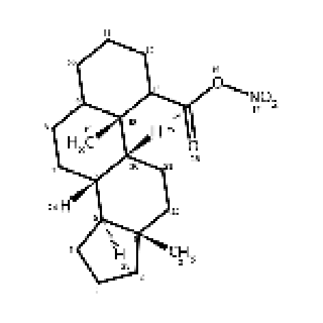 C[C@@]12CCC[C@H]1[C@@H]1CCC3CCCC(C(=O)O[N+](=O)[O-])[C@]3(C)[C@@H]1CC2